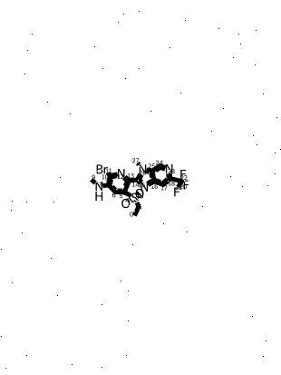 CCS(=O)(=O)c1cc(NC)c(Br)nc1-c1nc2cc(C(F)(F)F)ncc2n1C